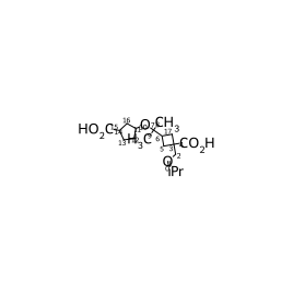 CC(C)OCC1(C(=O)O)CC(C(C)(C)OC2CCC(C(=O)O)C2)C1